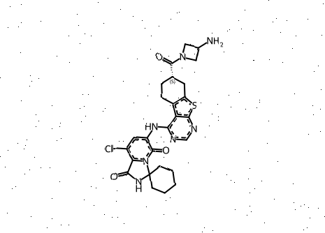 NC1CN(C(=O)[C@H]2CCc3c(sc4ncnc(Nc5cc(Cl)c6n(c5=O)C5(CCCCC5)NC6=O)c34)C2)C1